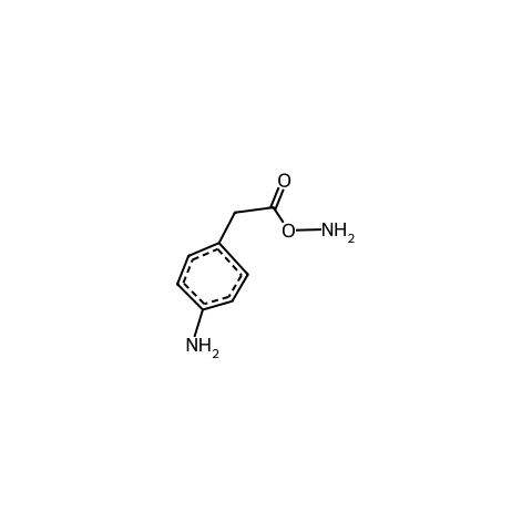 NOC(=O)Cc1ccc(N)cc1